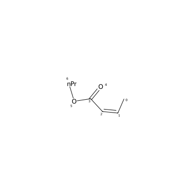 C/C=C\C(=O)OCCC